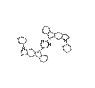 c1ccc(-n2ccc3cc4c5ccccc5n(-c5cnc(-n6c7ccccc7c7cc8ccn(-c9ccccc9)c8cc76)nc5)c4cc32)cc1